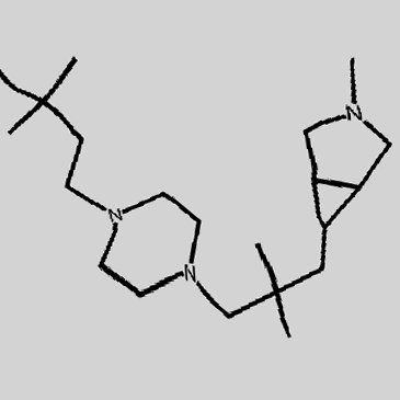 CN1CC2C(C1)C2CC(C)(C)CN1CCN(CCC(C)(C)C)CC1